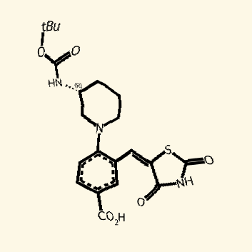 CC(C)(C)OC(=O)N[C@@H]1CCCN(c2ccc(C(=O)O)cc2C=C2SC(=O)NC2=O)C1